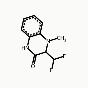 CN1c2ccccc2NC(=O)C1C(F)F